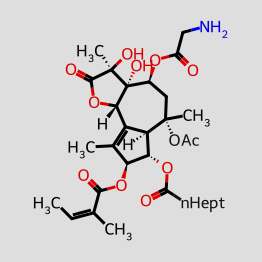 C/C=C(/C)C(=O)O[C@H]1C(C)=C2[C@H]([C@@H]1OC(=O)CCCCCCC)[C@@](C)(OC(C)=O)C[C@H](OC(=O)CN)[C@@]1(O)[C@H]2OC(=O)[C@@]1(C)O